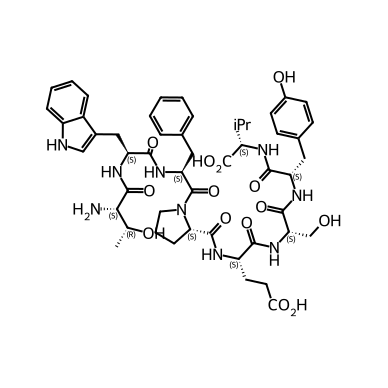 CC(C)[C@H](NC(=O)[C@H](Cc1ccc(O)cc1)NC(=O)[C@H](CO)NC(=O)[C@H](CCC(=O)O)NC(=O)[C@@H]1CCCN1C(=O)[C@H](Cc1ccccc1)NC(=O)[C@H](Cc1c[nH]c2ccccc12)NC(=O)[C@@H](N)[C@@H](C)O)C(=O)O